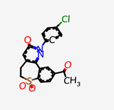 CC(=O)c1ccc2c(c1)-c1nn(-c3ccc(Cl)cc3)c(=O)cc1CCS2(=O)=O